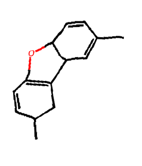 CC1=CC2C3=C(C=CC(C)C3)OC2C=C1